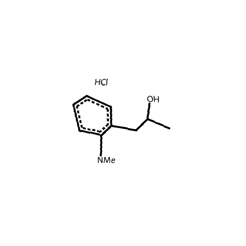 CNc1ccccc1CC(C)O.Cl